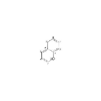 [C]1=C2OC=CC=C2CC=C1